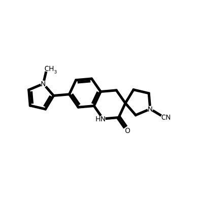 Cn1cccc1-c1ccc2c(c1)NC(=O)C1(CCN(C#N)C1)C2